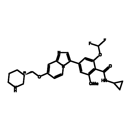 COc1cc(-c2cnc3cc(OC[C@H]4CCCNC4)ccn23)cc(OC(F)F)c1C(=O)NC1CC1